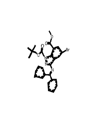 COC(=O)c1cc(Br)cc2c(N=C(c3ccccc3)c3ccccc3)nn(C(=O)OC(C)(C)C)c12